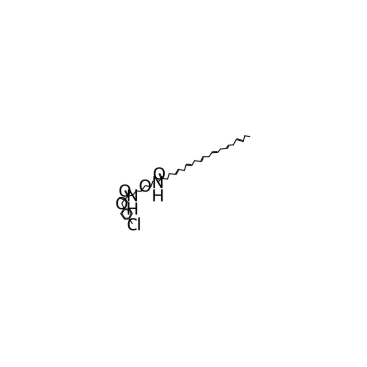 CCC=CCC=CCC=CCC=CCC=CCC=CCCC(=O)NCCOCCNC(=O)C(C)(C)Oc1ccc(Cl)cc1